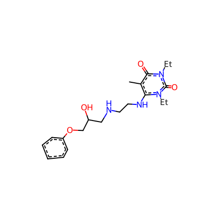 CCn1c(NCCNCC(O)COc2ccccc2)c(C)c(=O)n(CC)c1=O